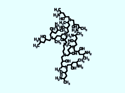 CC(N)CC(O)CN(CC(O)CC(C)N)C(C)CC(O)CN(CCCCCCN(CC(O)CC(C)N(CC(O)CC(C)N)CC(O)CC(C)N)CC(O)CC(C)N(CC(O)CC(C)N)CC(O)C[C@H](C)N)CC(O)CC(C)N(CC(O)CC(C)N)CC(O)CC(C)N